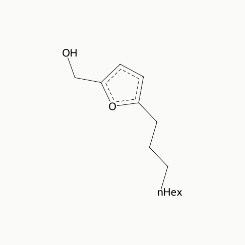 CCCCCCCCCc1ccc(CO)o1